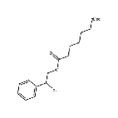 CCCCCCCCCCCCCCCC(=O)OCC(CC)c1ccccc1